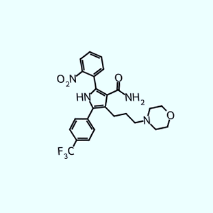 NC(=O)c1c(-c2ccccc2[N+](=O)[O-])[nH]c(-c2ccc(C(F)(F)F)cc2)c1CCCN1CCOCC1